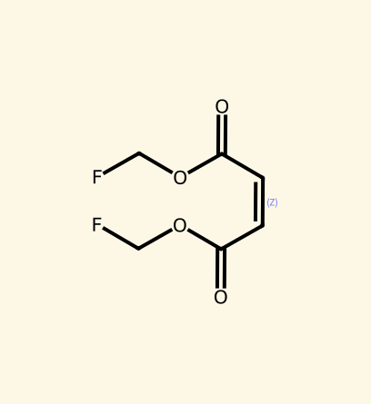 O=C(/C=C\C(=O)OCF)OCF